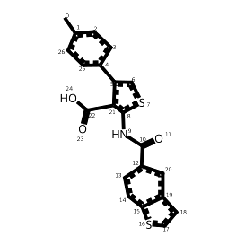 Cc1ccc(-c2csc(NC(=O)c3ccc4sccc4c3)c2C(=O)O)cc1